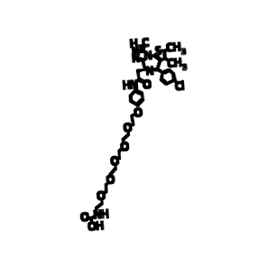 Cc1sc2c(c1C)C(c1ccc(Cl)cc1)=N[C@@H](CC(=O)Nc1ccc(OCCOCCOCCOCCOCCOCCNC(=O)O)cc1)c1nnc(C)n1-2